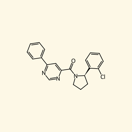 O=C(c1cc(-c2ccccc2)ncn1)N1CCC[C@@H]1c1ccccc1Cl